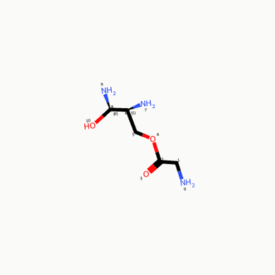 NCC(=O)OC[C@H](N)[C@H](N)O